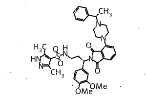 COc1ccc([C@@H](CCNS(=O)(=O)c2c(C)n[nH]c2C)N2C(=O)c3cccc(N4CCN([C@H](C)c5ccccc5)CC4)c3C2=O)cc1OC